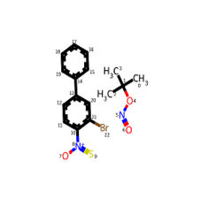 CC(C)(C)ON=O.[O-][N+](=S)c1ccc(-c2ccccc2)cc1Br